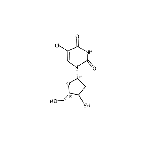 O=c1[nH]c(=O)n([C@@H]2CC(S)[C@H](CO)O2)cc1Cl